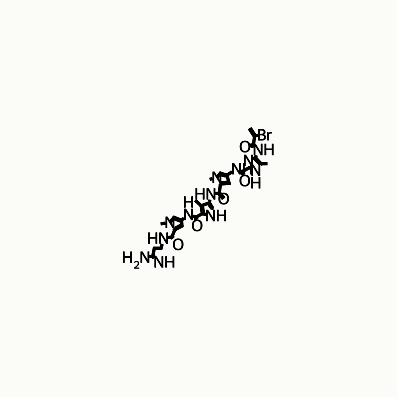 C=C(Br)C(=O)Nc1nc(C(=O)Nc2cc(C(=O)Nc3c[nH]c(C(=O)Nc4cc(C(=O)NCCC(=N)N)n(C)c4)c3C)n(C)c2)[nH]c1C